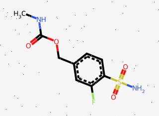 CNC(=O)OCc1ccc(S(N)(=O)=O)c(F)c1